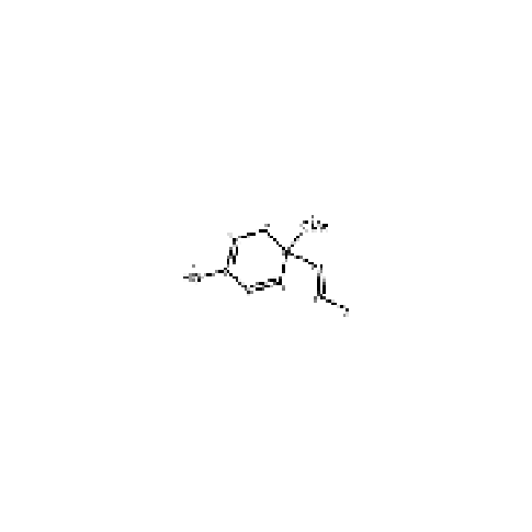 CC=CC1(OC)C=CC(O)=CC1